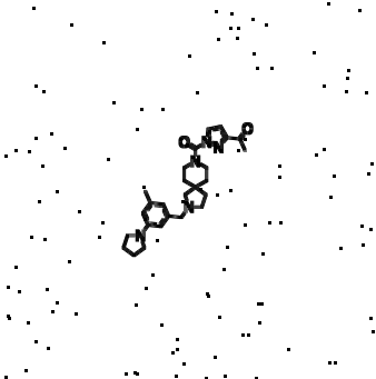 CC(=O)c1ccn(C(=O)N2CCC3(CCN(Cc4cc(C)cc(N5CCCC5)c4)C3)CC2)n1